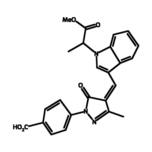 COC(=O)C(C)n1cc(/C=C2\C(=O)N(c3ccc(C(=O)O)cc3)N=C2C)c2ccccc21